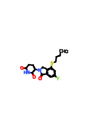 O=CCCCSc1cc(F)cc2c1CN(C1CCC(=O)NC1=O)C2=O